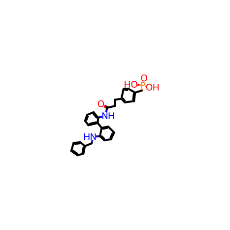 O=C(CCc1ccc(CP(=O)(O)O)cc1)Nc1ccccc1-c1ccccc1NCc1ccccc1